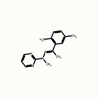 C/C(=N\N(C)c1ncccn1)c1cc(C)ccc1N